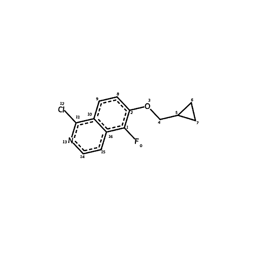 Fc1c(OCC2CC2)ccc2c(Cl)nccc12